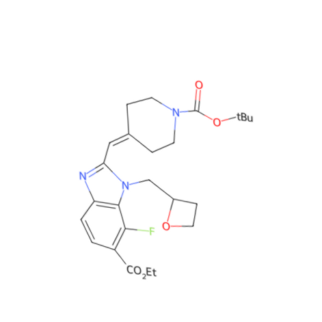 CCOC(=O)c1ccc2nc(C=C3CCN(C(=O)OC(C)(C)C)CC3)n(CC3CCO3)c2c1F